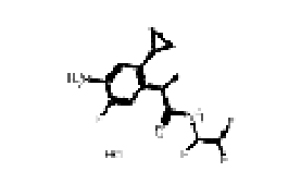 CC(C(=O)NC(F)C(F)F)c1cc(F)c(N)cc1C1CC1.Cl